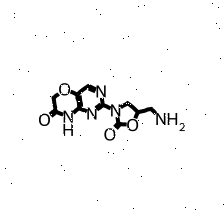 NCC1CN(c2ncc3c(n2)NC(=O)CO3)C(=O)O1